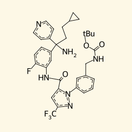 CC(C)(C)OC(=O)NCc1cccc(-n2nc(C(F)(F)F)cc2C(=O)Nc2cc(C(N)(CCC3CC3)c3ccncc3)ccc2F)c1